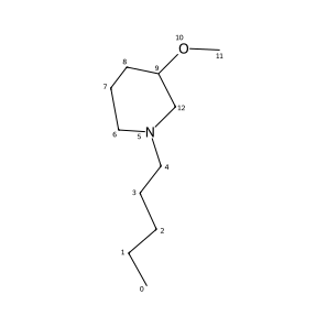 CCCCCN1CCCC(OC)C1